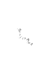 Cc1cc(O[Si](C(C)C)(C(C)C)C(C)C)cc(-n2nc(C(C)(C)C)cc2NC(=O)NCC[C@H]2CC[C@@H](Oc3ccc4nnc(N5CCCCC5)n4c3)c3ccccc32)c1